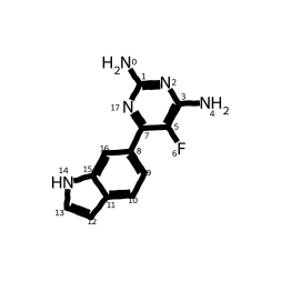 Nc1nc(N)c(F)c(-c2ccc3cc[nH]c3c2)n1